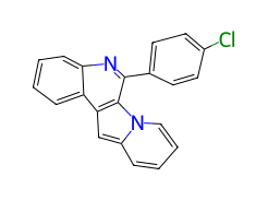 Clc1ccc(-c2nc3ccccc3c3cc4ccccn4c23)cc1